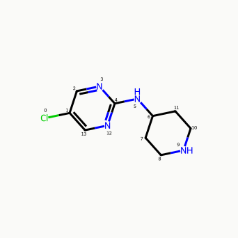 Clc1cnc(NC2CCNCC2)nc1